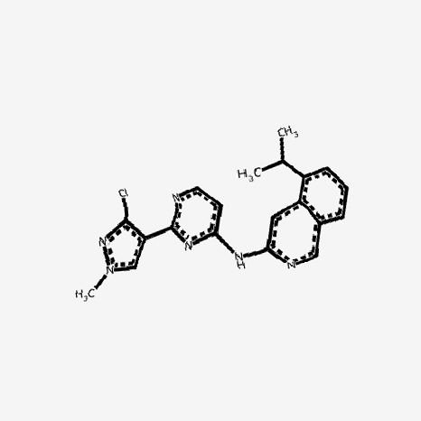 CC(C)c1cccc2cnc(Nc3ccnc(-c4cn(C)nc4Cl)n3)cc12